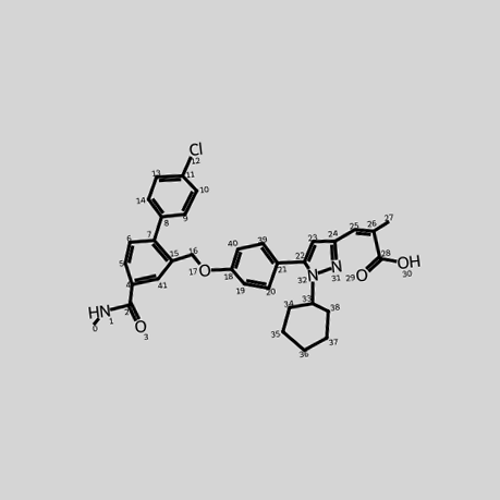 CNC(=O)c1ccc(-c2ccc(Cl)cc2)c(COc2ccc(-c3cc(C=C(C)C(=O)O)nn3C3CCCCC3)cc2)c1